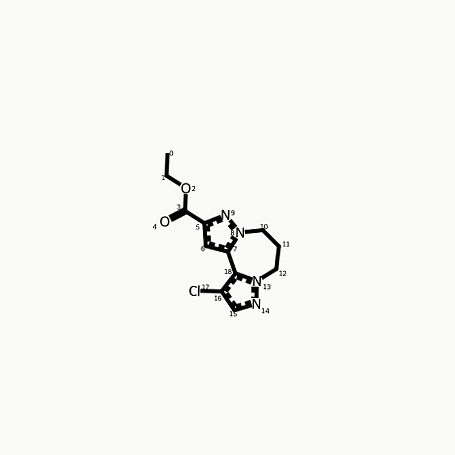 CCOC(=O)c1cc2n(n1)CCCn1ncc(Cl)c1-2